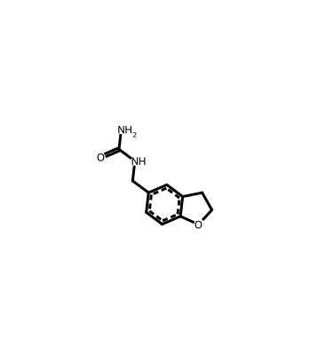 NC(=O)NCc1ccc2c(c1)CCO2